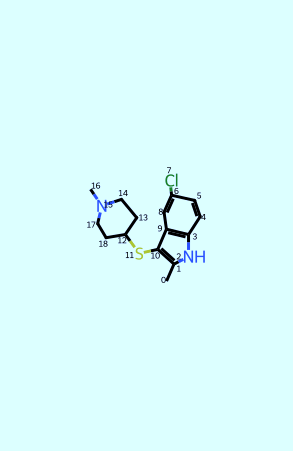 Cc1[nH]c2ccc(Cl)cc2c1SC1CCN(C)CC1